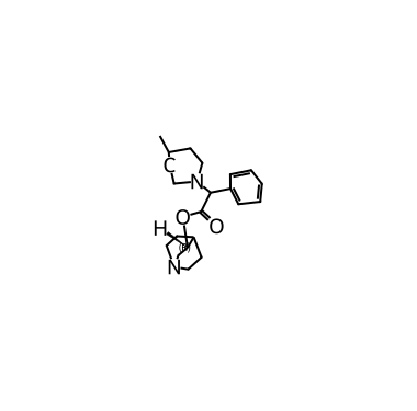 CC1CCN(C(C(=O)O[C@H]2CN3CCC2CC3)c2ccccc2)CC1